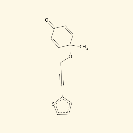 CC1(OCC#Cc2cccs2)C=CC(=O)C=C1